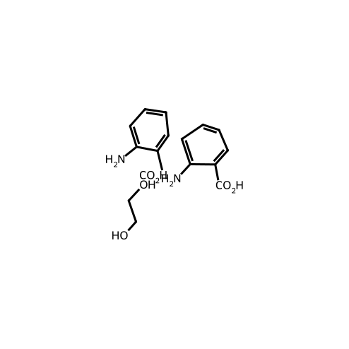 Nc1ccccc1C(=O)O.Nc1ccccc1C(=O)O.OCCO